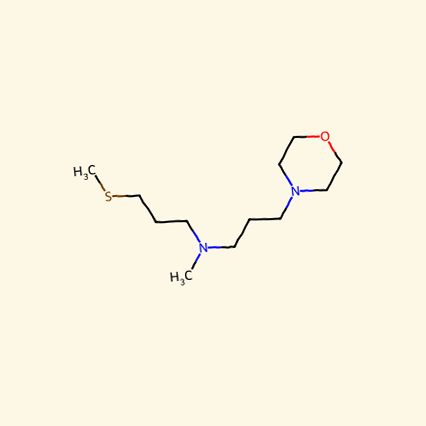 CSCCCN(C)CCCN1CCOCC1